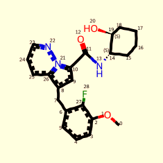 COc1cccc(Cc2cc(C(=O)N[C@H]3CCCC[C@@H]3O)n3ncccc23)c1F